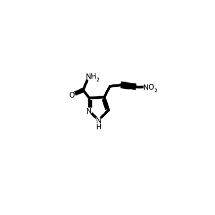 NC(=O)c1n[nH]cc1CC#C[N+](=O)[O-]